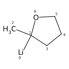 [Li][C]1(C)CCCO1